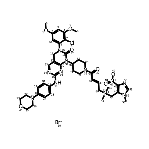 COc1cc(OC)c(Cl)c(N2Cc3cnc(Nc4ccc(N5CCOCC5)cc4)nc3N(C3CCN(C(=O)/C=C/C[N+](C)(C)Cc4c([N+](=O)[O-])ncn4C)CC3)C2=O)c1.[Br-]